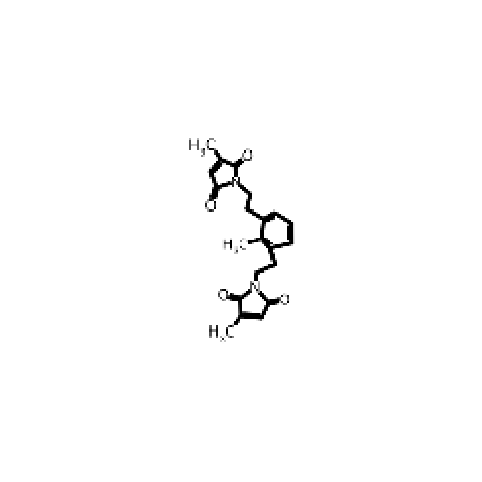 CC1=CC(=O)N(CCc2cccc(CCN3C(=O)C=C(C)C3=O)c2C)C1=O